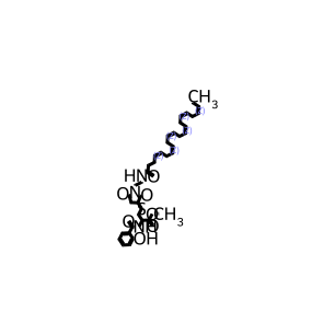 CC/C=C\C/C=C\C/C=C\C/C=C\C/C=C\C/C=C\CCC(=O)NCCN1C(=O)CC(SCC(NC(=O)c2ccccc2O)C(=O)OC)C1=O